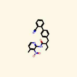 CCC(Cc1ccc(-c2ccccc2C#N)cc1)C(=O)Nc1nccc(C)c1[N+](=O)[O-]